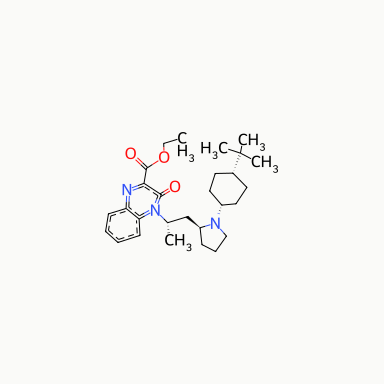 CCOC(=O)c1nc2ccccc2n([C@@H](C)C[C@@H]2CCCN2[C@H]2CC[C@@H](C(C)(C)C)CC2)c1=O